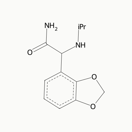 CC(C)NC(C(N)=O)c1cccc2c1OCO2